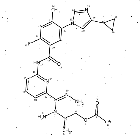 CCCC(=O)OC[C@@H](C)N(N)/C(=N\N)c1cccc(NC(=O)c2cc(-n3cnc(C4CC4)c3)c(C)cc2F)n1